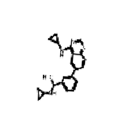 CC(NC1CC1)c1cccc(-c2ccc3ncnc(NC4CC4)c3c2)c1